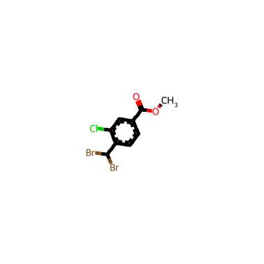 COC(=O)c1ccc(C(Br)Br)c(Cl)c1